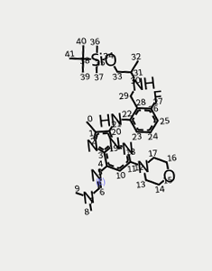 Cc1nc2c(/N=C/N(C)C)cc(N3CCOCC3)nn2c1Nc1cccc(F)c1CNC(C)CO[Si](C)(C)C(C)(C)C